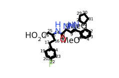 COc1cccc(OC)c1/C(=C/C(=N)C(=O)NC(CCc1ccc(F)cc1)CC(=O)O)NC1CCCC1